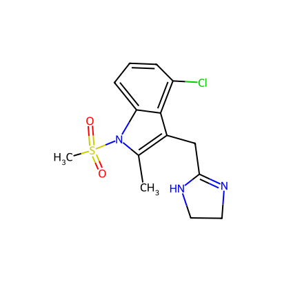 Cc1c(CC2=NCCN2)c2c(Cl)cccc2n1S(C)(=O)=O